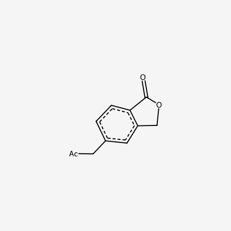 CC(=O)Cc1ccc2c(c1)COC2=O